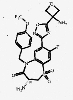 N[C@H]1CS(=O)(=O)c2cc(F)c(-c3noc(C4(N)COC4)n3)cc2N(Cc2ccc(OC(F)(F)F)cc2)C1=O